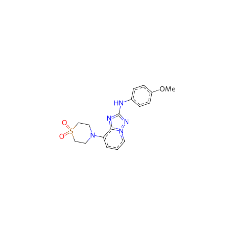 COc1ccc(Nc2nc3c(N4CCS(=O)(=O)CC4)cccn3n2)cc1